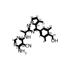 Cc1cc(-c2nc(C(C)Nc3ncnc(N)c3C#N)nn3ccc(C)c23)cc(C)c1CO